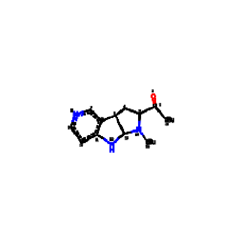 CC(C)(C)C(=O)C1CC2c3cnccc3NC2N1C(C)(C)C